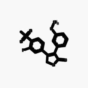 CS(=O)(=O)c1ccc(C2=C(c3cccc(OC(F)(F)F)c3)C(=O)OC2)cc1F